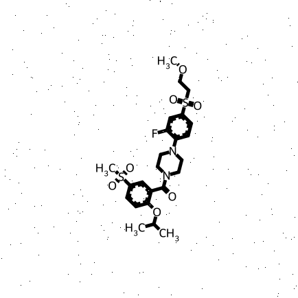 COCCS(=O)(=O)c1ccc(N2CCN(C(=O)c3cc(S(C)(=O)=O)ccc3OC(C)C)CC2)c(F)c1